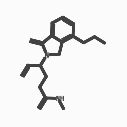 C=CC(CCC(=C)NC)N1Cc2c(CCC)cccc2C1=C